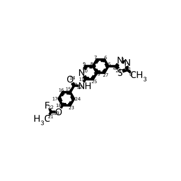 Cc1nnc(-c2ccc3cnc(NC(=O)c4ccc(OC(C)F)cc4)cc3c2)s1